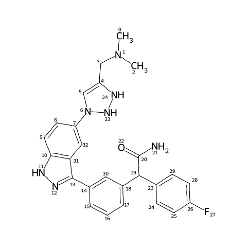 CN(C)CC1=CN(c2ccc3[nH]nc(-c4cccc(C(C(N)=O)c5ccc(F)cc5)c4)c3c2)NN1